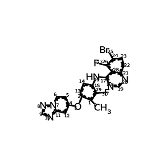 Cc1c(Oc2ccn3ncnc3c2)ccc(Nc2ncnc3ccc(Br)c(F)c23)c1F